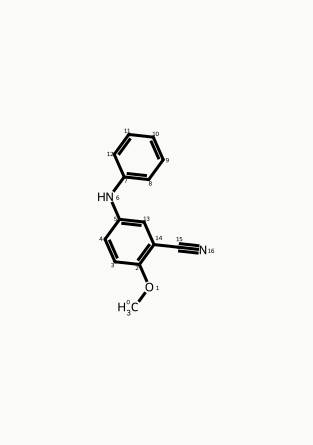 COc1ccc(Nc2ccccc2)cc1C#N